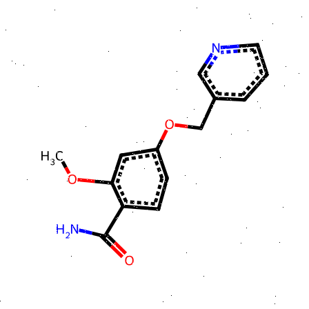 COc1cc(OCc2cccnc2)ccc1C(N)=O